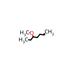 C=CCCC(CC)OC